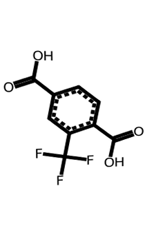 O=C(O)c1ccc(C(=O)O)c(C(F)(F)F)c1